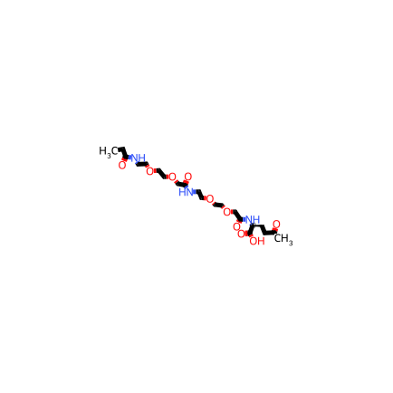 CCC(=O)NCCOCCOCC(=O)NCCOCCOCC(=O)N[C@@H](CCC(C)=O)C(=O)O